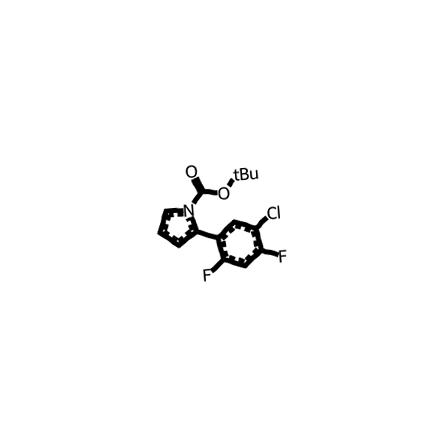 CC(C)(C)OC(=O)n1cccc1-c1cc(Cl)c(F)cc1F